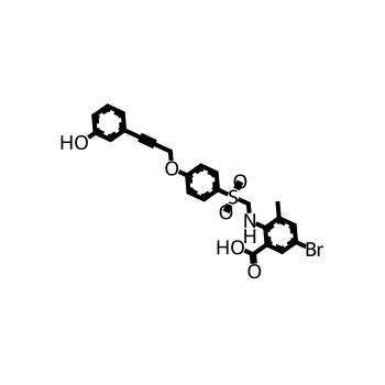 Cc1cc(Br)cc(C(=O)O)c1NCS(=O)(=O)c1ccc(OCC#Cc2cccc(O)c2)cc1